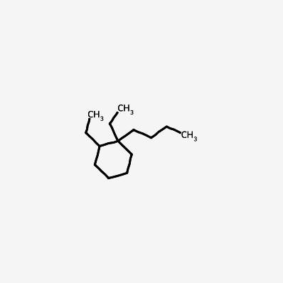 CCCCC1(CC)CCCCC1CC